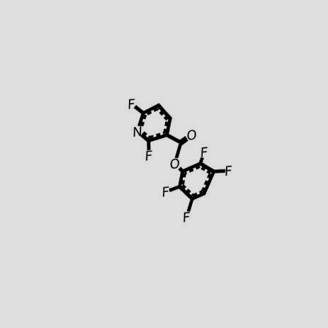 O=C(Oc1c(F)c(F)cc(F)c1F)c1ccc(F)nc1F